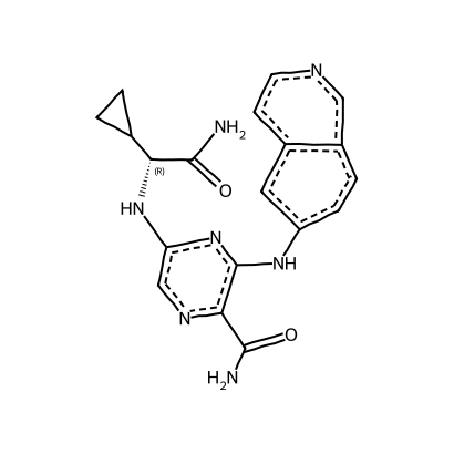 NC(=O)c1ncc(N[C@@H](C(N)=O)C2CC2)nc1Nc1ccc2cnccc2c1